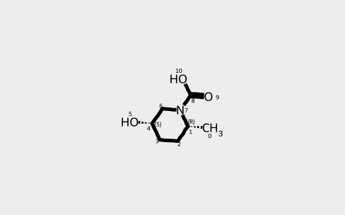 C[C@@H]1CC[C@H](O)CN1C(=O)O